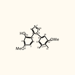 COc1ccc(-c2cnnn2-c2cc(C)c(C)c(OC)c2)c(O)c1